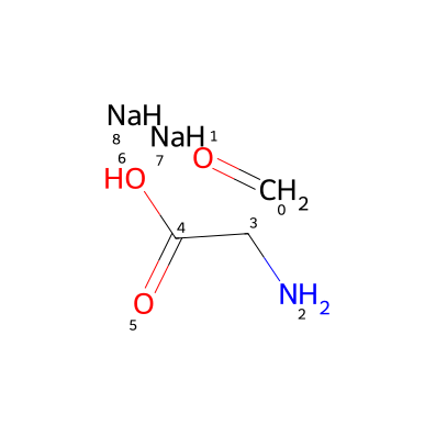 C=O.NCC(=O)O.[NaH].[NaH]